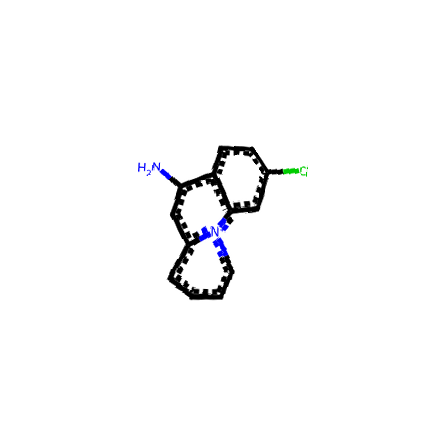 Nc1cc2cccc[n+]2c2cc(Cl)ccc12